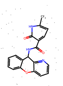 O=C(NC1c2ccccc2Oc2cccnc21)c1ccc(C(F)(F)F)[nH]c1=O